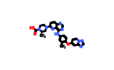 Cc1cc(Nc2ncnc3ccc(N4CCN(C(=O)O)[C@@H](C)C4)nc23)ccc1Oc1ccn2ncnc2c1